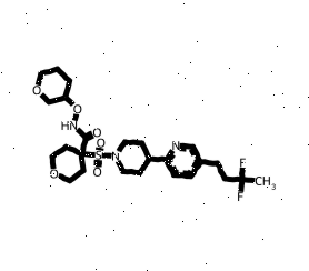 CC(F)(F)CCc1ccc(C2CCN(S(=O)(=O)C3(C(=O)NOC4CCCOC4)CCOCC3)CC2)nc1